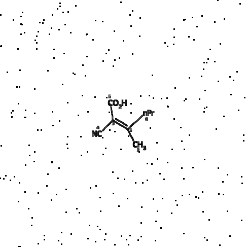 CCC/C(C)=C(/C#N)C(=O)O